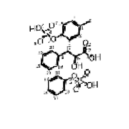 Cc1ccc(OS(=O)(=O)O)cc1.O=C(O)C(O)Cc1ccccc1.O=S(=O)(O)Oc1ccccc1